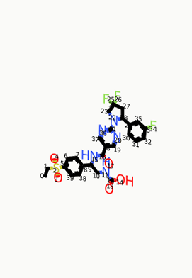 CCS(=O)(=O)c1ccc(C(CNC(=O)O)NC(=O)c2cnc(N3CC(F)(F)CC3c3cccc(F)c3)nc2)cc1